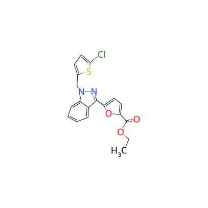 CCOC(=O)c1ccc(-c2nn(Cc3ccc(Cl)s3)c3ccccc23)o1